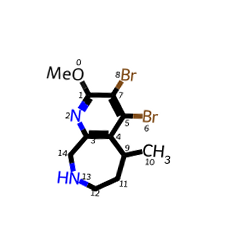 COc1nc2c(c(Br)c1Br)C(C)CCNC2